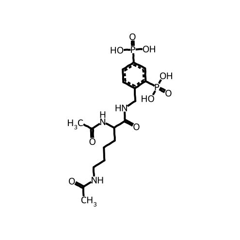 CC(=O)NCCCCC(NC(C)=O)C(=O)NCc1ccc(P(=O)(O)O)cc1P(=O)(O)O